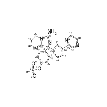 CS(=O)(=O)Oc1ccc(C2(c3cccc(-c4cnccn4)c3)N=C(N)N3CCCN=C32)cc1